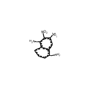 Nc1cccc2c(N)c([N+](=O)[O-])c([N+](=O)[O-])cc12